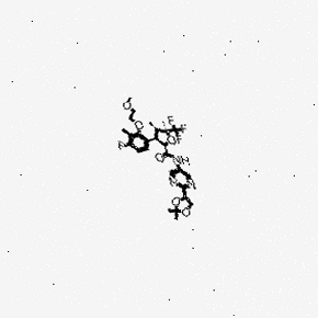 COCCOc1c([C@H]2[C@@H](C)[C@@](C)(C(F)(F)F)O[C@H]2C(=O)Nc2cnc(C3COC(C)(C)O3)nc2)ccc(F)c1C